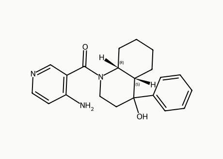 Nc1ccncc1C(=O)N1CCC(O)(c2ccccc2)[C@H]2CCCC[C@H]21